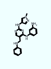 Cn1cc(Nc2ncc(CNc3ccccc3)c(Nc3cccc(N)c3)n2)cn1